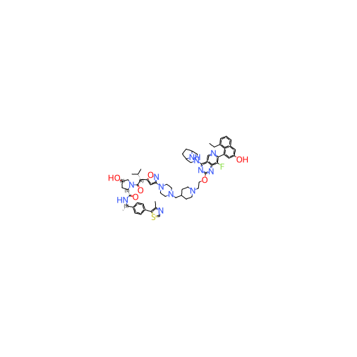 CCc1cccc2cc(O)cc(-c3ncc4c(N5CC6CCC(C5)N6)nc(OCCN5CCC(CN6CCN(c7cc([C@H](C(=O)N8C[C@H](O)C[C@H]8C(=O)N[C@@H](C)c8ccc(-c9scnc9C)cc8)C(C)C)on7)CC6)CC5)nc4c3F)c12